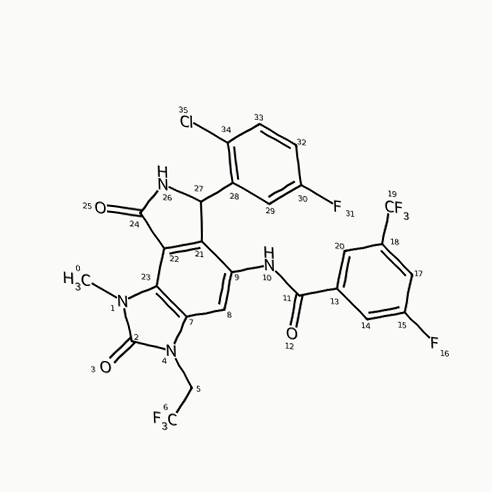 Cn1c(=O)n(CC(F)(F)F)c2cc(NC(=O)c3cc(F)cc(C(F)(F)F)c3)c3c(c21)C(=O)NC3c1cc(F)ccc1Cl